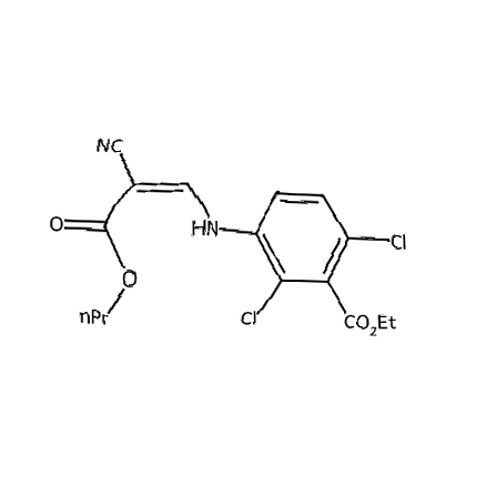 CCCOC(=O)C(C#N)=CNc1ccc(Cl)c(C(=O)OCC)c1Cl